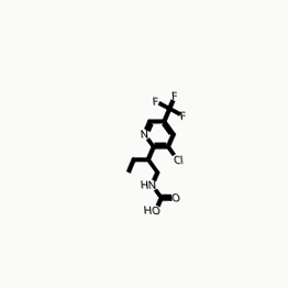 CCC(CNC(=O)O)c1ncc(C(F)(F)F)cc1Cl